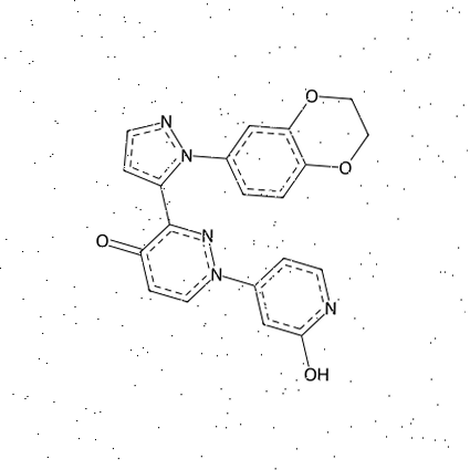 O=c1ccn(-c2ccnc(O)c2)nc1-c1ccnn1-c1ccc2c(c1)OCCO2